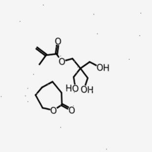 C=C(C)C(=O)OCC(CO)(CO)CO.O=C1CCCCCO1